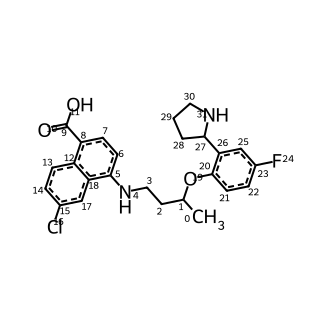 CC(CCNc1ccc(C(=O)O)c2ccc(Cl)cc12)Oc1ccc(F)cc1C1CCCN1